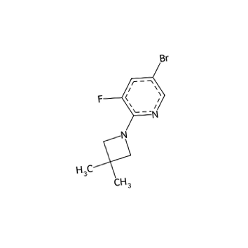 CC1(C)CN(c2ncc(Br)cc2F)C1